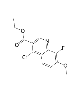 CCOC(=O)c1cnc2c(F)c(OC)ccc2c1Cl